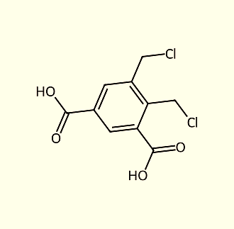 O=C(O)c1cc(CCl)c(CCl)c(C(=O)O)c1